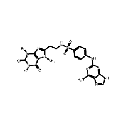 CCn1c(=O)c2c(nc(CCNS(=O)(=O)c3ccc(Nc4nc(N)c5nc[nH]c5n4)cc3)n2C)n(CC)c1=O